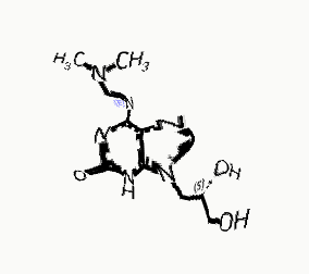 CN(C)/C=N/c1nc(=O)[nH]c2c1ncn2C[C@H](O)CO